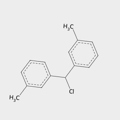 Cc1cccc(C(Cl)c2cccc(C)c2)c1